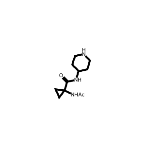 CC(=O)NC1(C(=O)NC2CCNCC2)CC1